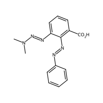 CN(C)N=Nc1cccc(C(=O)O)c1N=Nc1ccccc1